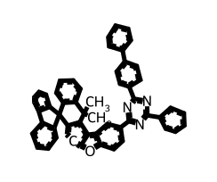 CC1(C)c2ccccc2C2(c3ccccc3-c3ccccc32)c2ccc3oc4ccc(-c5nc(-c6ccccc6)nc(-c6ccc(-c7ccccc7)cc6)n5)cc4c3c21